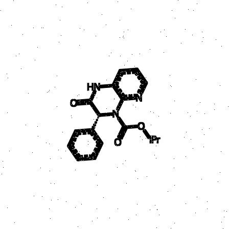 CC(C)OC(=O)N1c2ncccc2NC(=O)[C@H]1c1ccccc1